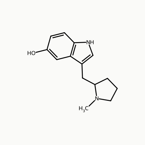 CN1CCCC1Cc1c[nH]c2ccc(O)cc12